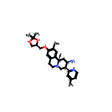 COc1cc2c(cc1OC[C@H]1COC(C)(C)O1)CCN1C[C@H](c3cc(C)ccn3)[C@H](N)C[C@H]21